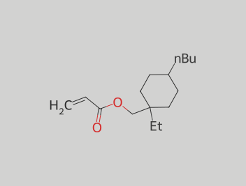 C=CC(=O)OCC1(CC)CCC(CCCC)CC1